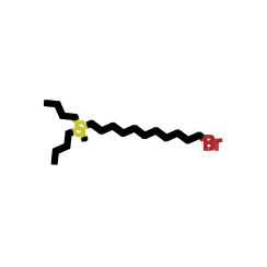 CCCCS(C)(CCCC)CCCCCCCCCCCBr